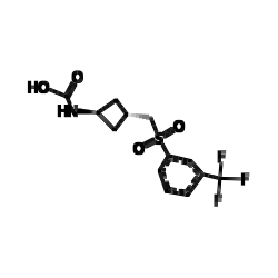 O=C(O)N[C@H]1C[C@H](CS(=O)(=O)c2cccc(C(F)(F)F)c2)C1